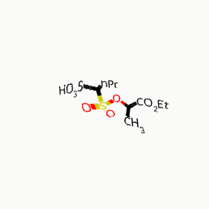 CCCC(S(=O)(=O)O)S(=O)(=O)OC(C)C(=O)OCC